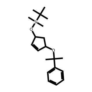 CC(C)(OC1C=CC(O[Si](C)(C)C(C)(C)C)C1)c1ccccc1